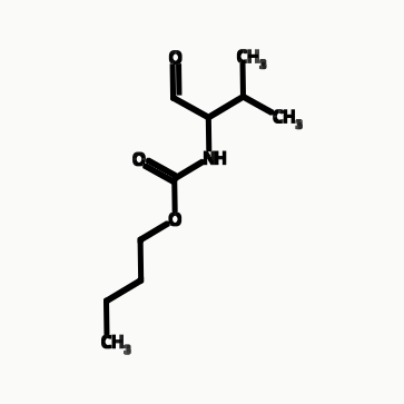 CCCCOC(=O)NC(C=O)C(C)C